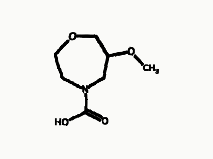 COC1COCCN(C(=O)O)C1